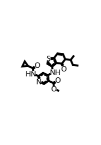 CCC(C)C1C=Cc2scc(Nc3cc(NC(=O)C4CC4)ncc3C(=O)OC)c2C1=O